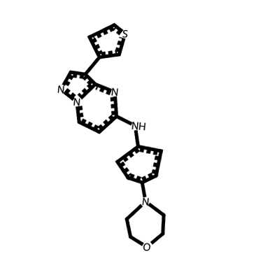 c1cc(-c2cnn3ccc(Nc4ccc(N5CCOCC5)cc4)nc23)cs1